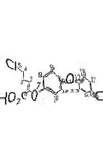 O=C(O)C(CCCCl)Oc1ccc(Oc2ccc(Cl)cc2)cc1